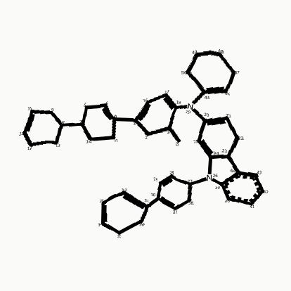 CC1CC(C2=CCC(C3CC=CCC3)CC2)=CC=C1N(C1=CCC2C(=C1)N(C1C=CC(C3=CC=CCC3)=CC1)c1ccccc12)C1=CCCCC1